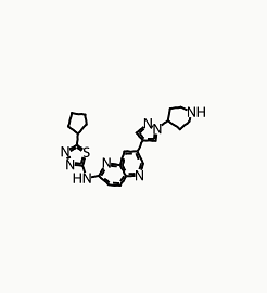 c1nc2ccc(Nc3nnc(C4CCCC4)s3)nc2cc1-c1cnn(C2CCNCC2)c1